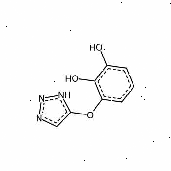 Oc1cccc(Oc2cnn[nH]2)c1O